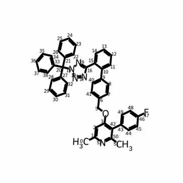 Cc1cc(OCc2ccc(-c3ccccc3-c3nnn(C(c4ccccc4)(c4ccccc4)c4ccccc4)n3)cc2)c(-c2ccc(F)cc2)c(C)n1